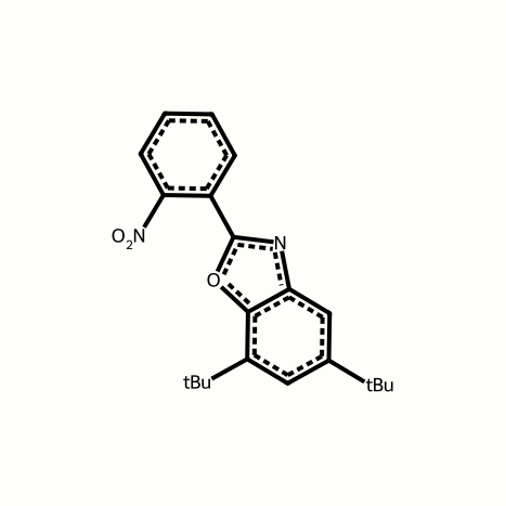 CC(C)(C)c1cc(C(C)(C)C)c2oc(-c3ccccc3[N+](=O)[O-])nc2c1